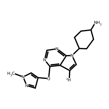 [2H]c1cn(C2CCC(N)CC2)c2ncnc(Oc3cnn(C)c3)c12